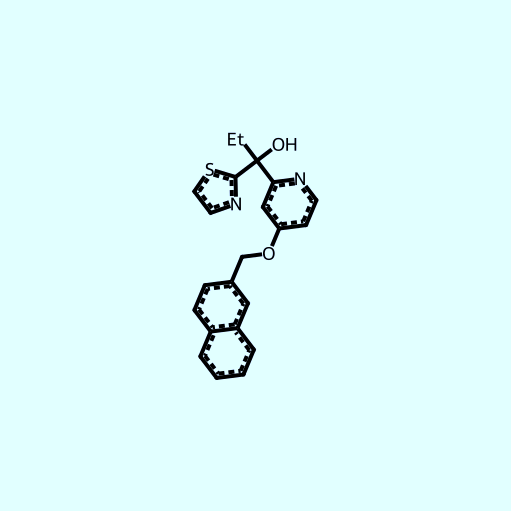 CCC(O)(c1cc(OCc2ccc3ccccc3c2)ccn1)c1nccs1